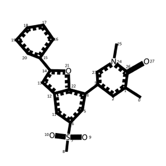 Cc1cc(-c2cc(S(C)(=O)=O)cc3cc(-c4ccccc4)oc23)cn(C)c1=O